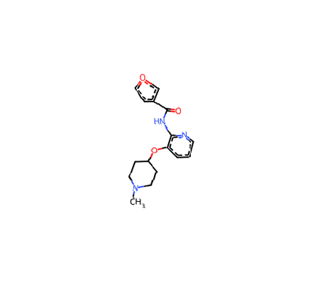 CN1CCC(Oc2cccnc2NC(=O)c2ccoc2)CC1